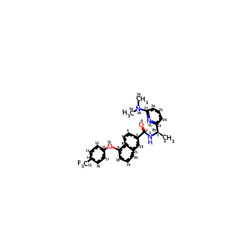 C[C@@H](NC(=O)c1ccc2c(Oc3ccc(C(F)(F)F)cc3)cccc2c1)c1cccc(N(C)C)n1